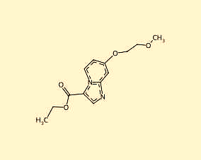 CCOC(=O)c1cnc2cc(OCCOC)ccn12